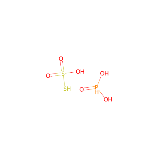 O=S(=O)(O)S.O=[PH](O)O